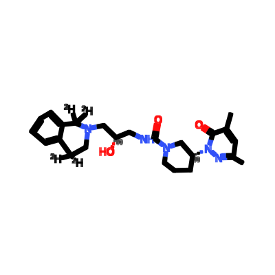 [2H]C1([2H])CN(C[C@@H](O)CNC(=O)N2CCC[C@@H](n3nc(C)cc(C)c3=O)C2)C([2H])([2H])c2ccccc21